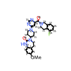 COc1ccc2c(c1)CCN(C1CCN(c3cc(C(=O)N4CCc5c(F)cccc5C4)ncn3)CC1)C(=O)N2